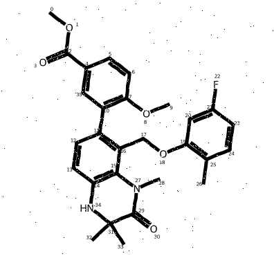 COC(=O)c1ccc(OC)c(-c2ccc3c(c2COc2cc(F)ccc2C)N(C)C(=O)C(C)(C)N3)c1